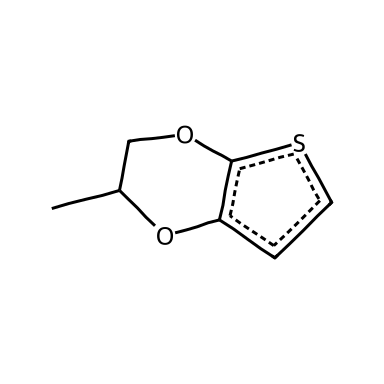 CC1COc2sccc2O1